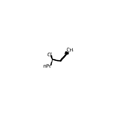 C#CC[C@H](Cl)CCC